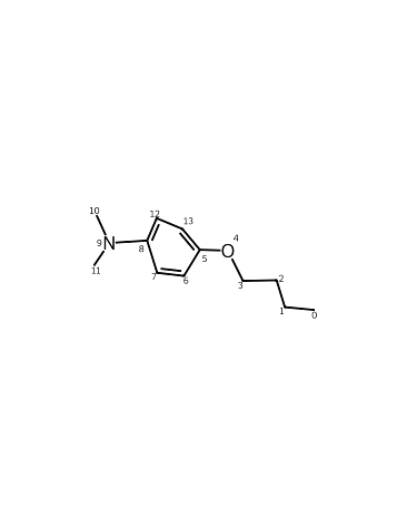 CCCCOc1ccc(N(C)C)cc1